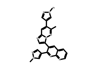 Cc1nn2c(-c3cc4cccnc4nc3-c3cnn(C)c3)cnc2cc1-c1cnn(C(C)C)c1